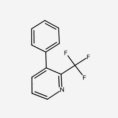 FC(F)(F)c1ncccc1-c1ccccc1